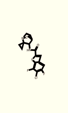 O=C(NC1C2CCN(CC2)C12CC2)c1cc2cc(F)c(Cl)c(F)c2s1